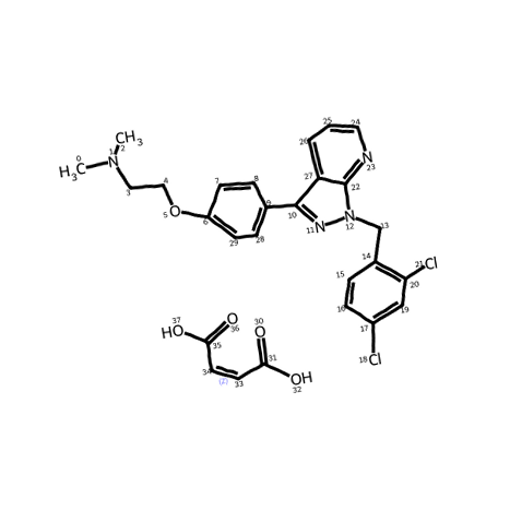 CN(C)CCOc1ccc(-c2nn(Cc3ccc(Cl)cc3Cl)c3ncccc23)cc1.O=C(O)/C=C\C(=O)O